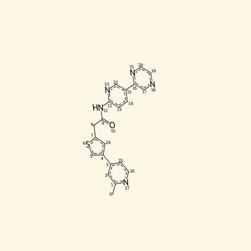 Cc1cc(-c2csc(CC(=O)Nc3ccc(-c4cnccn4)cn3)c2)ccn1